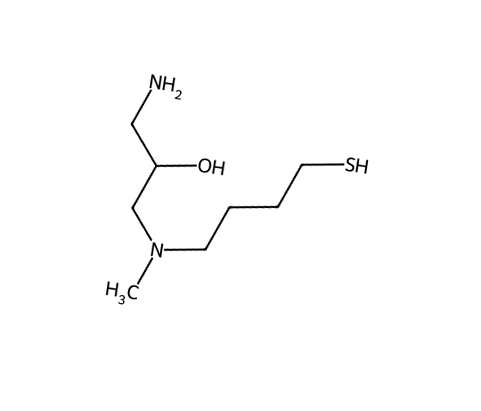 CN(CCCCS)CC(O)CN